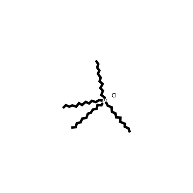 CCCCCCCCCCCC[P+](CCCCCCCCCCCC)(CCCCCCCCCCCC)CCCCCCCCCCCC.[Cl-]